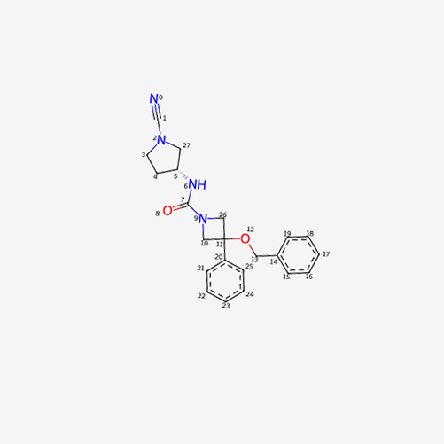 N#CN1CC[C@@H](NC(=O)N2CC(OCc3ccccc3)(c3ccccc3)C2)C1